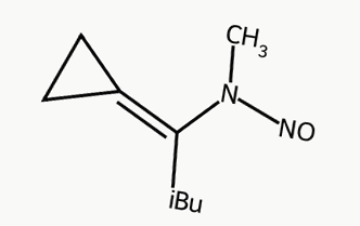 CCC(C)C(=C1CC1)N(C)N=O